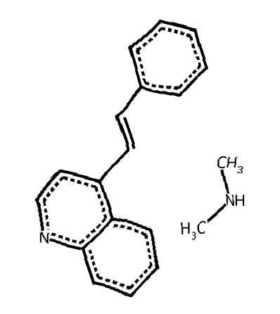 C(=Cc1ccnc2ccccc12)c1ccccc1.CNC